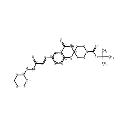 CC(C)(C)OC(=O)N1CCC2(CC1)NC(=O)c1cc(/C=C/C(=O)NOC3CCCCO3)ccc1O2